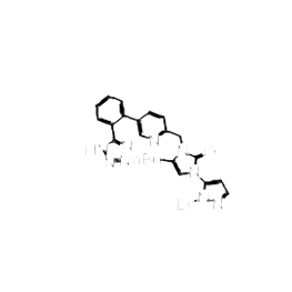 CCCCc1cn(-c2ccnn2CC)c(=O)n1Cc1ccc(-c2ccccc2-c2nnn[nH]2)cn1